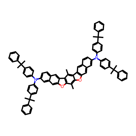 Cc1c2oc3cc4cc(N(c5ccc(C(C)(C)c6ccccc6)cc5)c5ccc(C(C)(C)c6ccccc6)cc5)ccc4cc3c2c(C)c2c1oc1cc3cc(N(c4ccc(C(C)(C)c5ccccc5)cc4)c4ccc(C(C)(C)c5ccccc5)cc4)ccc3cc12